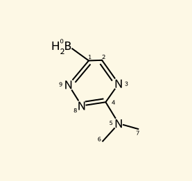 Bc1cnc(N(C)C)nn1